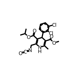 COC(=O)C1=C(C)NC(CN=C=O)=C(C(=O)OC(C)C)C1c1cccc(Cl)c1Cl